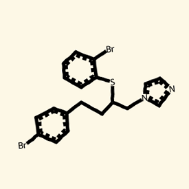 Brc1ccc(CCC(Cn2ccnc2)Sc2ccccc2Br)cc1